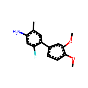 [CH2]c1cc(-c2ccc(OC)c(OC)c2)c(F)cc1N